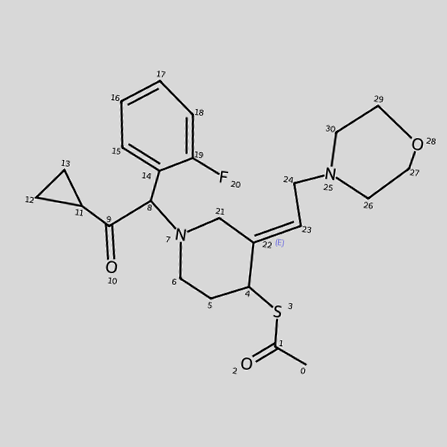 CC(=O)SC1CCN(C(C(=O)C2CC2)c2ccccc2F)C/C1=C\CN1CCOCC1